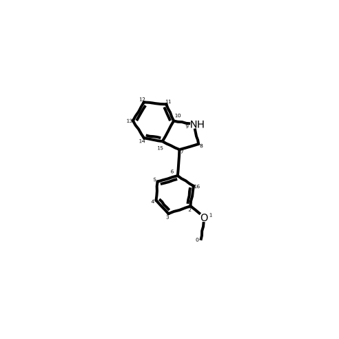 COc1cccc(C2CNc3ccccc32)c1